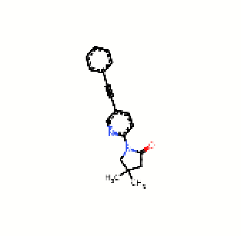 CC1(C)CC(=O)N(c2ccc(C#Cc3ccccc3)cn2)C1